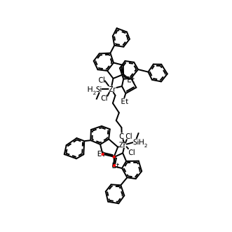 CCC1=Cc2c(-c3ccccc3)cccc2[CH]1[Zr]([Cl])([Cl])([CH2]CCCC[CH2][Zr]([Cl])([Cl])([SiH2]C)([CH]1C(CC)=Cc2c(-c3ccccc3)cccc21)[CH]1C(CC)=Cc2c(-c3ccccc3)cccc21)([SiH2]C)[CH]1C(CC)=Cc2c(-c3ccccc3)cccc21